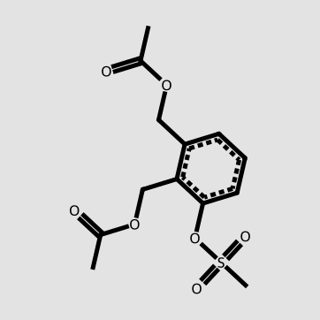 CC(=O)OCc1cccc(OS(C)(=O)=O)c1COC(C)=O